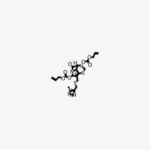 C=CCOC(=O)OC1C(CSCc2nnnn2C)=C2SCN(OC(=O)OCC=C)[C@@H]3C(=O)N1[C@H]23